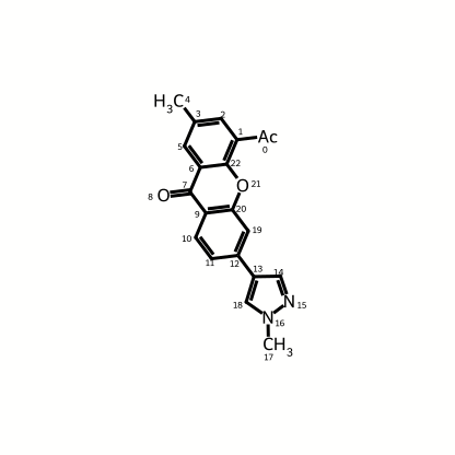 CC(=O)c1cc(C)cc2c(=O)c3ccc(-c4cnn(C)c4)cc3oc12